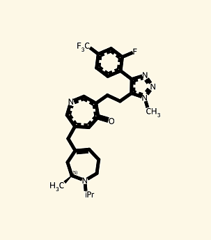 CC(C)N1CCC=C(Cc2cncc(CCc3c(-c4ccc(C(F)(F)F)cc4F)nnn3C)c(=O)c2)C[C@@H]1C